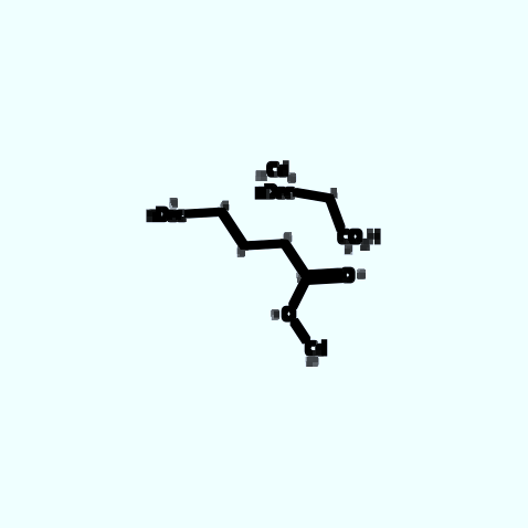 CCCCCCCCCCCC(=O)O.CCCCCCCCCCCCCC(=O)[O][Cd].[Cd]